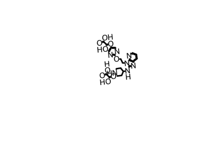 O=C(O)C(=O)O.O=C(O)C(=O)O.c1cnc(OCCn2c(NC3CCNCC3)nc3cccnc32)nc1